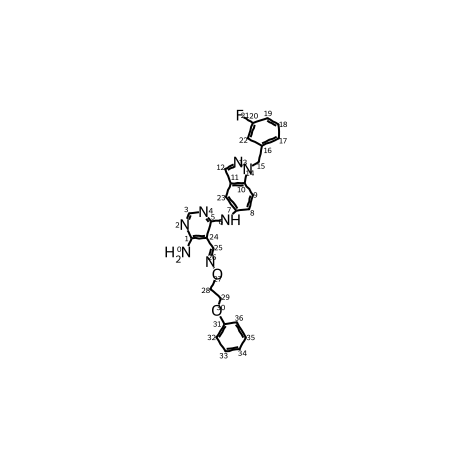 Nc1ncnc(Nc2ccc3c(cnn3Cc3cccc(F)c3)c2)c1C=NOCCOc1ccccc1